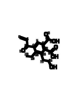 C=CC(=O)c1cc(C(=O)O)c(C(=O)O)c(CCO)c1CC